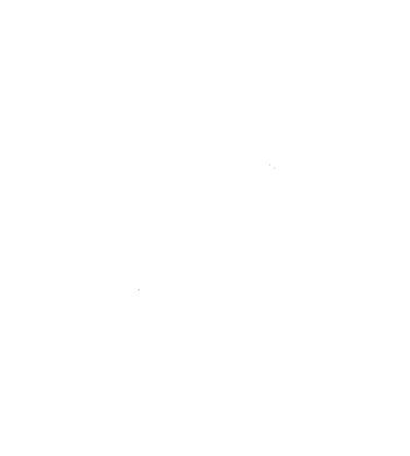 Cc1ccc2c(N(c3ccccc3)c3ccccc3)cc3c4cc(C)cc5c4c(cc3c2c1)-c1ccc(N(c2ccccc2)c2ccccc2)cc1O5